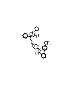 CC(CCCN1CCC(NC(=O)c2ccccc2-c2ccc(C(F)(F)F)cc2)CC1)(CC(=O)OC1CCCC1)c1ccccc1